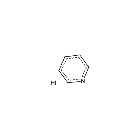 I.c1ccncc1